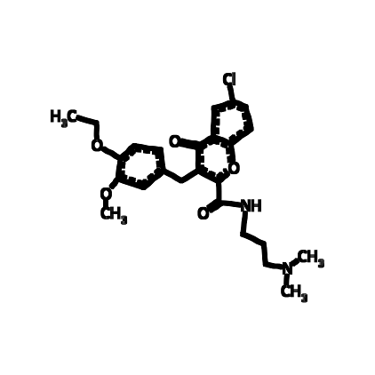 CCOc1ccc(Cc2c(C(=O)NCCCN(C)C)oc3ccc(Cl)cc3c2=O)cc1OC